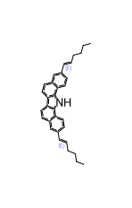 CCCC/C=C/c1ccc2c(ccc3c4ccc5cc(/C=C/CCCC)ccc5c4[nH]c23)c1